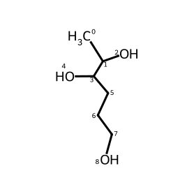 CC(O)C(O)CCCO